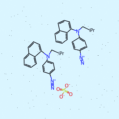 CC(C)CN(c1ccc([N+]#N)cc1)c1cccc2ccccc12.CC(C)CN(c1ccc([N+]#N)cc1)c1cccc2ccccc12.O=S(=O)([O-])[O-]